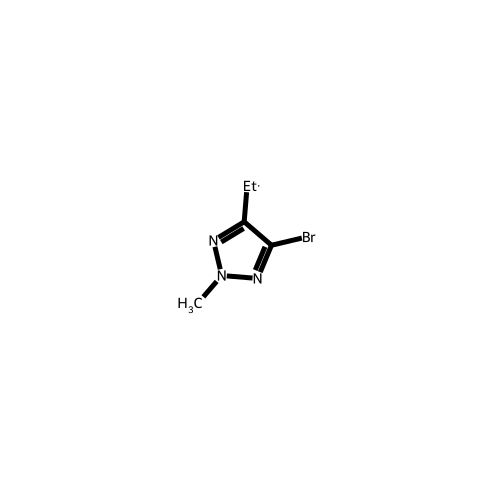 C[CH]c1nn(C)nc1Br